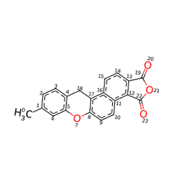 Cc1ccc2c(c1)Oc1ccc3c4c(ccc3c1C2)C(=O)OC4=O